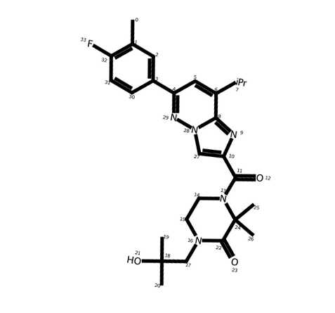 Cc1cc(-c2cc(C(C)C)c3nc(C(=O)N4CCN(CC(C)(C)O)C(=O)C4(C)C)cn3n2)ccc1F